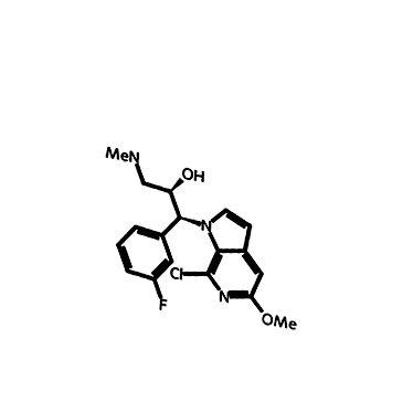 CNC[C@@H](O)[C@H](c1cccc(F)c1)n1ccc2cc(OC)nc(Cl)c21